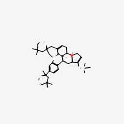 CC1(C)COOC2(CC[C@@]34Cc5cc(C6(C)CC(C)(C)COO6)ccc5[C@H]5C[C@]6(C)C(O[Si](C)(C)C)=CC[C@H]6[C@H](CC=C3C2)[C@H]54)C1